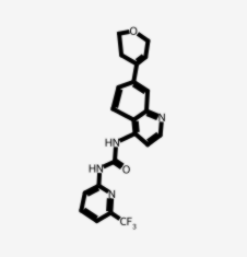 O=C(Nc1cccc(C(F)(F)F)n1)Nc1ccnc2cc(C3=CCOCC3)ccc12